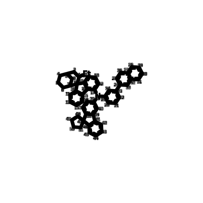 CCC1CC2CCCC(C2)C12c1ccccc1-c1c(N(c3cccc(-c4ccc5ccccc5c4)c3)c3ccc4c(c3)-c3ccccc3C43CCCC3)cccc12